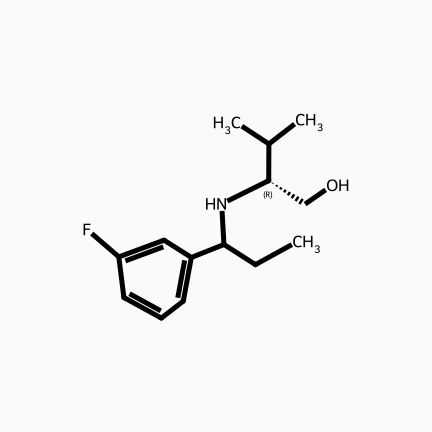 CCC(N[C@@H](CO)C(C)C)c1cccc(F)c1